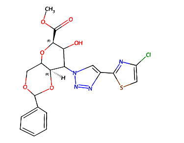 COC(=O)[C@@H]1OC2COC(c3ccccc3)O[C@@H]2C(n2cc(-c3nc(Cl)cs3)nn2)C1O